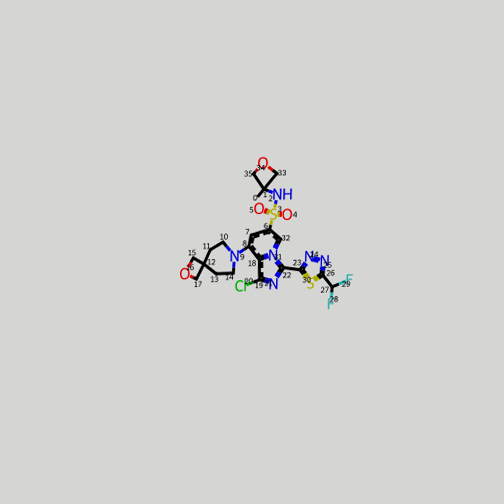 CC1(NS(=O)(=O)c2cc(N3CCC4(CC3)COC4)c3c(Cl)nc(-c4nnc(C(F)F)s4)n3c2)COC1